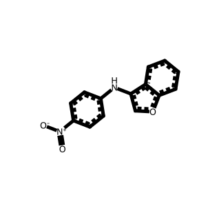 O=[N+]([O-])c1ccc(Nc2coc3ccccc23)cc1